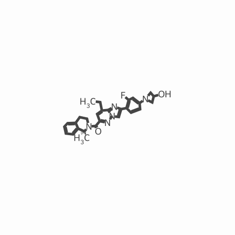 CCc1cc(C(=O)N2CCc3ccccc3[C@H]2C)nn2cc(-c3ccc(N4CC(O)C4)cc3F)nc12